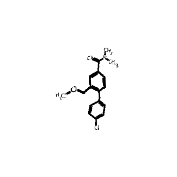 COCc1cc(C(=O)N(C)C)ccc1-c1ccc(Cl)cc1